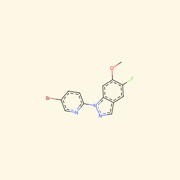 COc1cc2c(cnn2-c2ccc(Br)cn2)cc1F